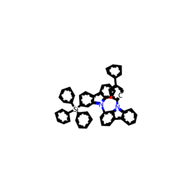 c1ccc(-c2ccc(-n3c4ccccc4c4cccc(-n5c6ccccc6c6ccc([Si](c7ccccc7)(c7ccccc7)c7ccccc7)cc65)c43)cc2)cc1